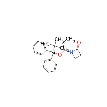 CCC(O[Si](c1ccccc1)(c1ccccc1)C(C)(C)C)N1CCC1=O